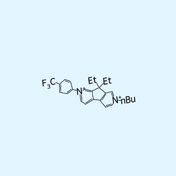 CCCC[n+]1ccc2c(c1)C(CC)(CC)c1c[n+](-c3ccc(C(F)(F)F)cc3)ccc1-2